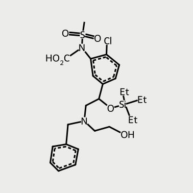 CC[Si](CC)(CC)OC(CN(CCO)Cc1ccccc1)c1ccc(Cl)c(N(C(=O)O)S(C)(=O)=O)c1